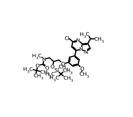 COc1cc(OCC(CN(C)C(=O)OC(C)(C)C)O[Si](C)(C)C(C)(C)C)cc(-c2cc(Cl)nc3c(C(C)C)cnn23)c1